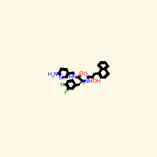 Nc1ccc(CNC(=O)[C@H](Cc2ccc(F)c(F)c2)NC(=O)[C@H](O)Cc2cccc3ccccc23)cn1